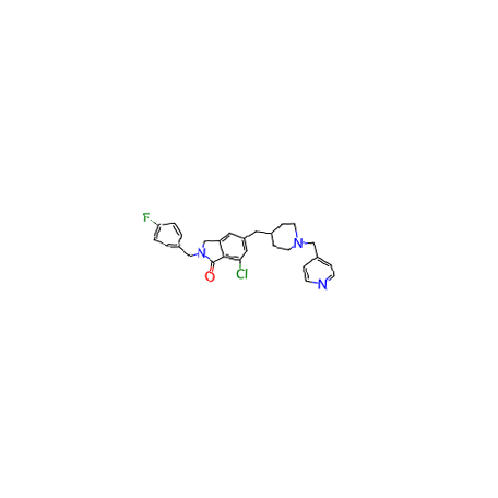 O=C1c2c(Cl)cc(CC3CCN(Cc4ccncc4)CC3)cc2CN1Cc1ccc(F)cc1